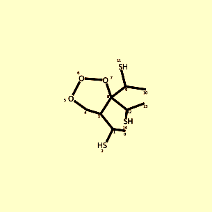 CC(S)C1COOOC1(C(C)S)C(C)S